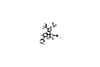 CCC(=O)c1cc(C2(c3ccc(F)c(-c4cncnc4)c3)N=C(N)N(C)C2=O)cn1CC(F)(F)F